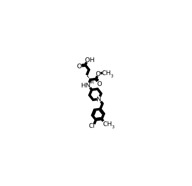 COC(=O)[C@@H](CCC(=O)O)NC1CCN(Cc2ccc(Cl)c(C)c2)CC1